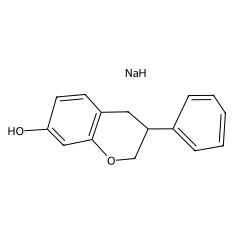 Oc1ccc2c(c1)OCC(c1ccccc1)C2.[NaH]